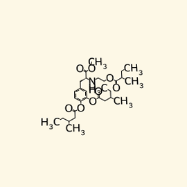 CCC(C)CC(=O)Oc1ccc(C[C@H](NCCOC(=O)C(C)CC)C(=O)OC)cc1OC(=O)CC(C)CC